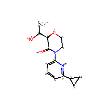 O=C(O)C(O)[C@H]1OCCN(c2cccc(C3CC3)n2)C1=O